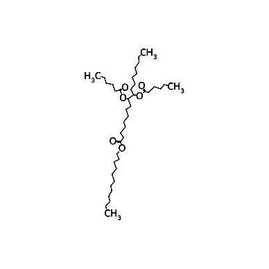 CCCCCCCCCCCCOC(=O)CCCCCCCC(OC(=O)CCCCC)C(CCCCCCCC)OC(=O)CCCCC